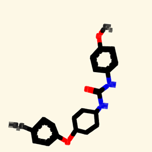 O=C(Nc1ccc(OC(F)(F)F)cc1)NC1CCC(Oc2ccc(C(=O)O)cc2)CC1